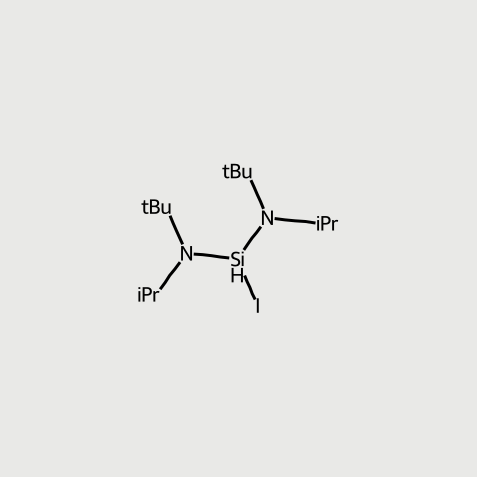 CC(C)N([SiH](I)N(C(C)C)C(C)(C)C)C(C)(C)C